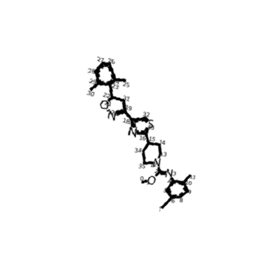 COC(=Nc1cc(C)ccc1C)N1CCC(c2nc(C3=NOC(c4c(C)cccc4C)C3)cs2)CC1